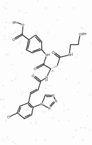 COCCNC(=O)C[C@H](NC(=O)C=Cc1cc(Cl)ccc1-n1cnnn1)C(=O)Nc1ccc(C(=O)OC(C)(C)C)cc1